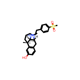 CN1CCC[C@@]2(C)c3cc(O)ccc3C[C@@H]1[C@H]2NCCc1ccc(S(C)(=O)=O)cc1